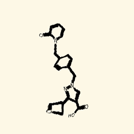 O=C(O)c1cn(CC2=CCC(Cn3ccccc3=O)C=C2)nc1C1COC1